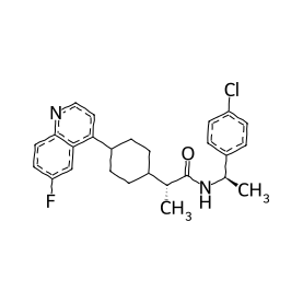 C[C@@H](NC(=O)[C@H](C)C1CCC(c2ccnc3ccc(F)cc23)CC1)c1ccc(Cl)cc1